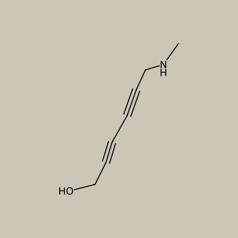 CNCC#CC#CCO